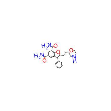 NC(=O)c1cc(C(N)=O)c2c(c1)C(c1ccccc1)C(CCC1CNCCO1)O2